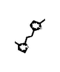 Cc1ccc(CCc2sccc2C)s1